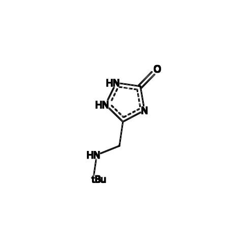 CC(C)(C)NCc1nc(=O)[nH][nH]1